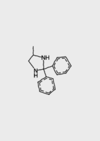 CC1CNC(c2ccccc2)(c2ccccc2)N1